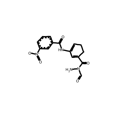 NN(C=O)C(=O)C1=CC(NC(=O)c2cccc([N+](=O)[O-])c2)=CC[CH]1